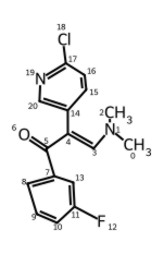 CN(C)C=C(C(=O)c1cccc(F)c1)c1ccc(Cl)nc1